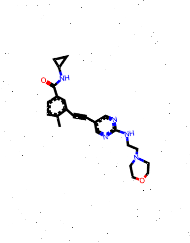 Cc1ccc(C(=O)NC2CC2)cc1C#Cc1cnc(NCCN2CCOCC2)nc1